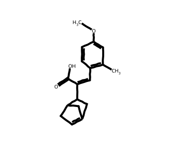 COc1ccc(C=C(C(=O)O)C2CC3=CCC2C3)c(C)c1